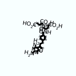 Nc1nc(N)c2c(CCc3ccc(C(=O)NC(CCC(=O)O)C(=O)N[C@@H](CCC(=O)O)C(=O)O)cc3)coc2n1